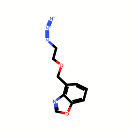 [N-]=[N+]=NCCOCc1cccc2ocnc12